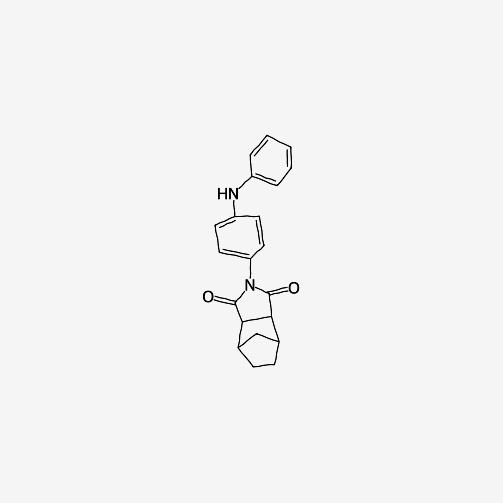 O=C1C2C3CCC(C3)C2C(=O)N1c1ccc(Nc2ccccc2)cc1